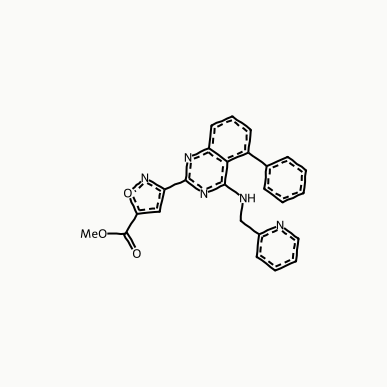 COC(=O)c1cc(-c2nc(NCc3ccccn3)c3c(-c4ccccc4)cccc3n2)no1